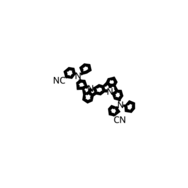 N#Cc1cccc(N(c2ccccc2)c2ccc3c4cccc5c6cc7c(cc6n(c3c2)c45)c2cccc3c4ccc(N(c5ccccc5)c5cccc(C#N)c5)cc4n7c32)c1